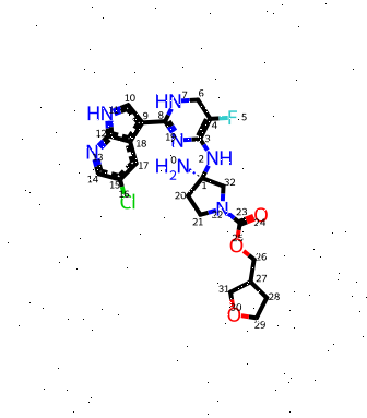 N[C@@]1(NC2=C(F)CNC(c3c[nH]c4ncc(Cl)cc34)=N2)CCN(C(=O)OCC2CCOC2)C1